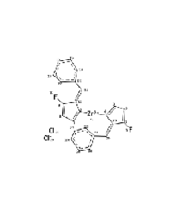 FC1=CC=[C]([Zr+2][C]2=CC=C(F)C2=Cc2ccccc2)C1=Cc1ccccc1.[Cl-].[Cl-]